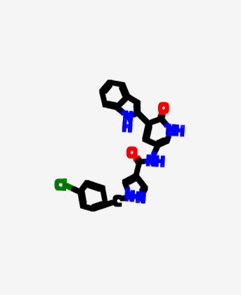 O=C(Nc1c[nH]c(=O)c(-c2cc3ccccc3[nH]2)c1)c1cnn(Cc2ccc(Cl)cc2)c1